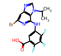 CC(C)n1cnc2cc(Br)nc(Nc3cc(C(=O)O)c(F)c(F)c3F)c21